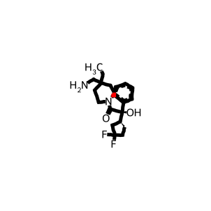 CCC1(CN)CCN(C(=O)[C@](O)(c2ccccc2)[C@@H]2CCC(F)(F)C2)CC1